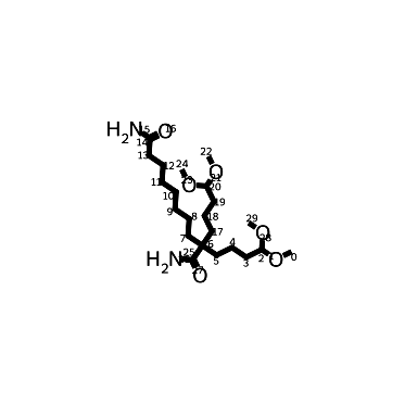 COC(CCCC(CCCCCCCC(N)=O)(CCCC(OC)OC)C(N)=O)OC